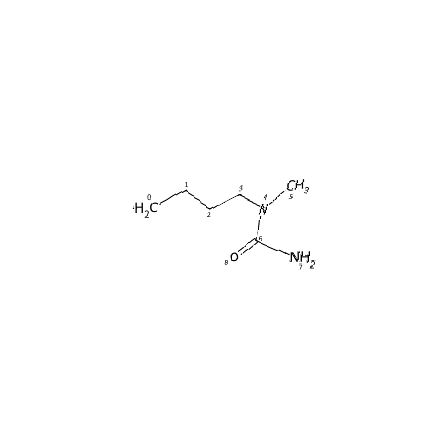 [CH2]CCCN(C)C(N)=O